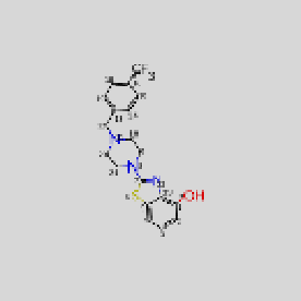 Oc1cccc2sc(N3CCN(Cc4ccc(C(F)(F)F)cc4)CC3)nc12